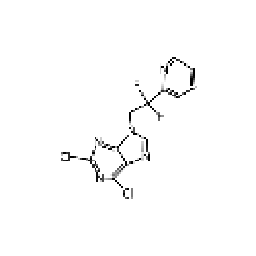 FC(F)(Cn1cnc2c(Cl)nc(Cl)nc21)c1ccccn1